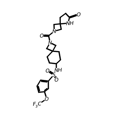 O=C1CCC2(CN(C(=O)N3CC4(CCC(NS(=O)(=O)c5cccc(OC(F)(F)F)c5)CC4)C3)C2)N1